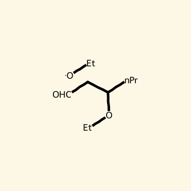 CCCC(CC=O)OCC.CC[O]